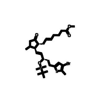 COC(=O)CCCC=CC[C@H]1C(=O)CC(C)[C@@H]1C=C[C@H](CCc1cc(Br)c(C)s1)O[Si](C)(C)C(C)(C)C